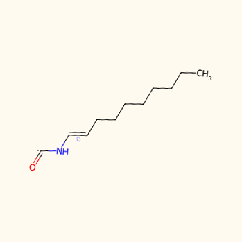 CCCCCCCC/C=C/N[C]=O